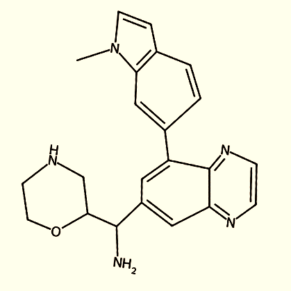 Cn1ccc2ccc(-c3cc(C(N)C4CNCCO4)cc4nccnc34)cc21